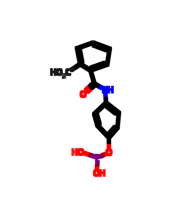 O=C(O)c1ccccc1C(=O)Nc1ccc(OP(O)O)cc1